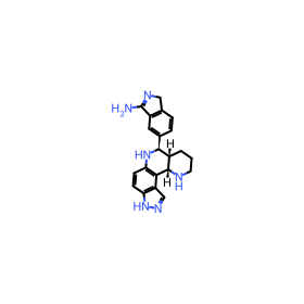 NC1=NCc2ccc([C@@H]3Nc4ccc5[nH]ncc5c4[C@H]4NCCC[C@H]43)cc21